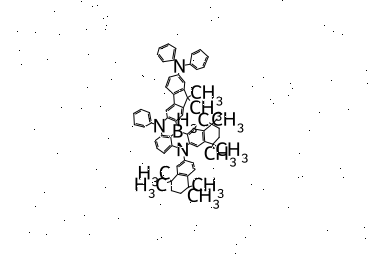 CC1(C)CCC(C)(C)c2cc(N3c4cc5c(cc4B4c6cc7c(cc6N(c6ccccc6)c6cccc3c64)-c3ccc(N(c4ccccc4)c4ccccc4)cc3C7(C)C)C(C)(C)CCC5(C)C)ccc21